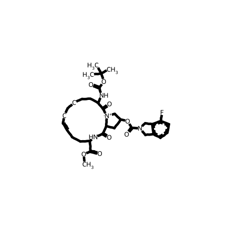 COC(=O)C1CCC=CCCCCCC(NC(=O)OC(C)(C)C)C(=O)[N+]2CC(OC(=O)N3Cc4cccc(F)c4C3)CC2C(=O)N1